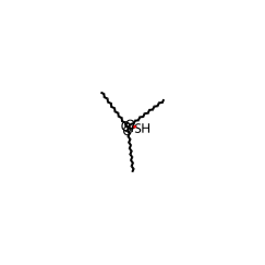 CCCCCCCCCCCCCCO[Si](CCS)(OCCCCCCCCCCCCCC)OCCCCCCCCCCCCCC